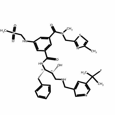 Cc1csc(CN(C)C(=O)c2cc(NCS(C)(=O)=O)cc(C(=O)N[C@@H](Cc3ccccc3)[C@H](O)CNCc3cncc(C(C)(C)F)c3)c2)n1